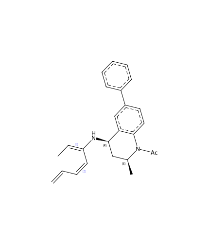 C=C/C=C\C(=C/C)N[C@@H]1C[C@H](C)N(C(C)=O)c2ccc(-c3ccccc3)cc21